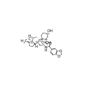 C=C1CC[C@H]2[C@H](CCNC(=O)c3ccc4c(c3)OCO4)[C@@H]([C@@]3(C)CC[C@H](O)C[C@@H]3O)CC[C@]12C